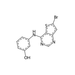 Oc1cccc(Nc2ncnc3cc(Br)sc23)c1